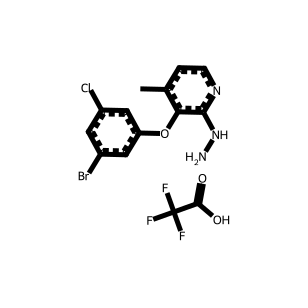 Cc1ccnc(NN)c1Oc1cc(Cl)cc(Br)c1.O=C(O)C(F)(F)F